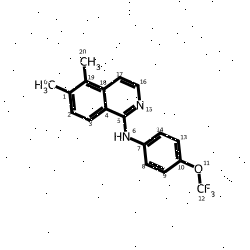 Cc1ccc2c(Nc3ccc(OC(F)(F)F)cc3)nccc2c1C